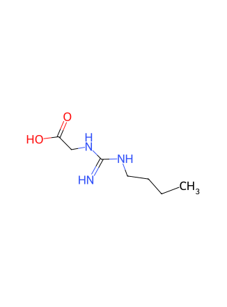 CCCCNC(=N)NCC(=O)O